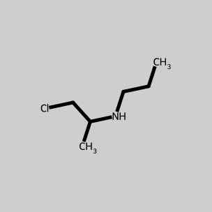 CCCNC(C)CCl